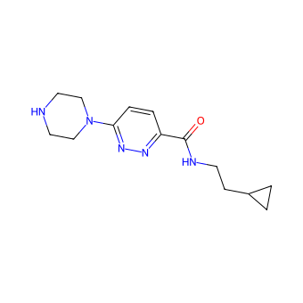 O=C(NCCC1CC1)c1ccc(N2CCNCC2)nn1